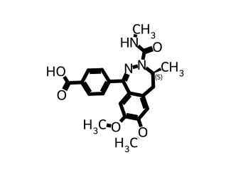 CNC(=O)N1N=C(c2ccc(C(=O)O)cc2)c2cc(OC)c(OC)cc2C[C@@H]1C